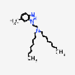 CCCCCCCCN(CCCCCCCC)CCn1nnc2ccc(C)cc21